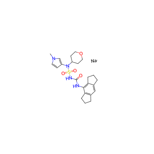 Cn1ccc(N(C2CCOCC2)S(=O)(=O)NC(=O)Nc2c3c(cc4c2CCC4)CCC3)c1.[Na]